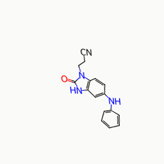 N#CCCn1c(=O)[nH]c2cc(Nc3ccccc3)ccc21